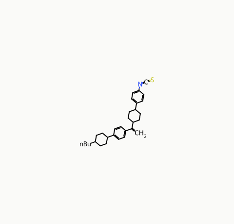 C=C(c1ccc(C2CCC(CCCC)CC2)cc1)C1CCC(c2ccc(N=C=S)cc2)CC1